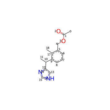 CC(=O)OCc1cccc(C(C)c2c[nH]cn2)c1C